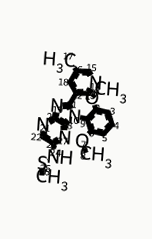 COc1cccc(OC)c1-n1c(-c2cncc(C)c2)nc2ncc(NSC)nc21